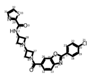 O=C(NC1CN(C2CN(C(=O)c3ccc4nc(-c5ccc(Cl)cc5)oc4c3)C2)C1)c1nccs1